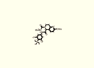 COc1ccc2c(n1)CCN(C(=O)OC(C)(C)C)C2C(=O)Nc1cc(F)c([Si](C)(C)C)c(F)c1